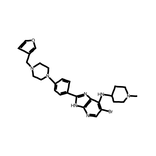 CN1CCC(Nc2c(Br)cnc3[nH]c(-c4ccc(N5CCN(Cc6ccoc6)CC5)cc4)nc23)CC1